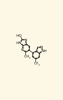 Cc1nc2[nH]c(O)nc2cc1-c1cc(C(F)(F)F)cc2[nH]ncc12